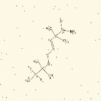 CC(C)(C=CCOC(C)(C)C(C)(F)F)[S+](N)[O-]